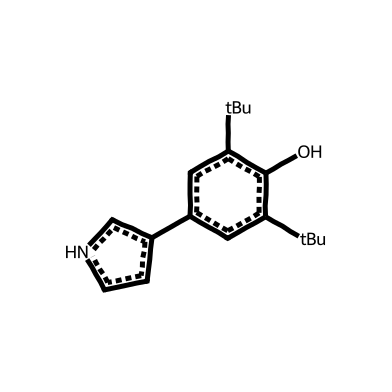 CC(C)(C)c1cc(-c2cc[nH]c2)cc(C(C)(C)C)c1O